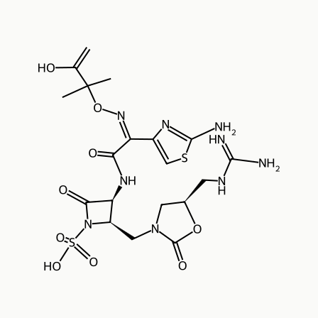 C=C(O)C(C)(C)O/N=C(\C(=O)N[C@@H]1C(=O)N(S(=O)(=O)O)[C@@H]1CN1C[C@@H](CNC(=N)N)OC1=O)c1csc(N)n1